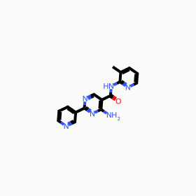 Cc1cccnc1NC(=O)c1cnc(-c2cccnc2)nc1N